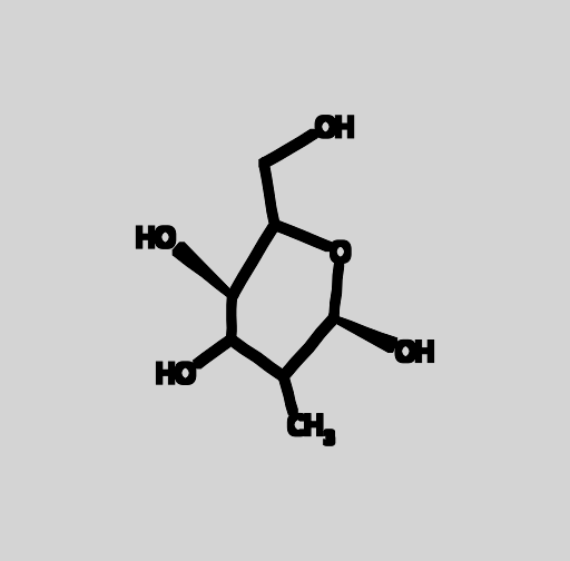 CC1C(O)[C@@H](O)C(CO)O[C@H]1O